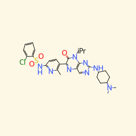 Cc1nc(NS(=O)(=O)c2ccccc2Cl)ccc1-c1nc2cnc(N[C@H]3CC[C@H](N(C)C)CC3)nc2n(C(C)C)c1=O